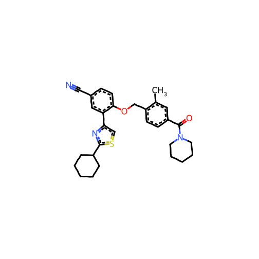 Cc1cc(C(=O)N2CCCCC2)ccc1COc1ccc(C#N)cc1-c1csc(C2CCCCC2)n1